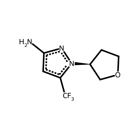 Nc1cc(C(F)(F)F)n([C@H]2CCOC2)n1